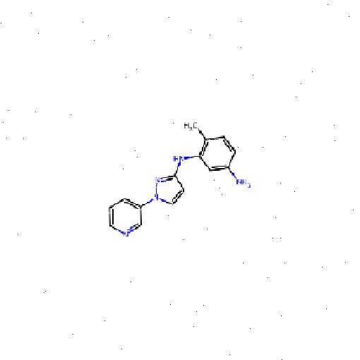 Cc1ccc(N)cc1Nc1ccn(-c2cccnc2)n1